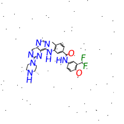 COc1ccc(NC(=O)c2ccc(C)c(Nc3ncnc4cnc(N5C[C@@H](C)N[C@@H](C)C5)nc34)c2)cc1C(F)F